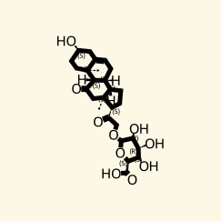 C[C@]12CC(=O)[C@H]3[C@@H](CC=C4C[C@@H](O)CC[C@@]43C)[C@@H]1CC[C@@H]2C(=O)COC1O[C@H](C(=O)O)[C@@H](O)[C@@H](O)[C@H]1O